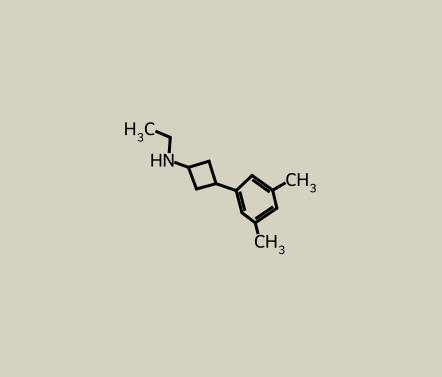 CCNC1CC(c2cc(C)cc(C)c2)C1